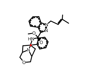 COc1ccccc1CN1C2COCC1CC(NC(=O)c1nn(CC=C(C)C)c3ccccc13)C2